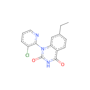 CCc1ccc2c(=O)[nH]c(=O)n(-c3ncccc3Cl)c2c1